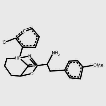 COc1ccc(CC(N)C2=N[PH]3(c4ccccc4Cl)CCCC(O2)C3=O)cc1